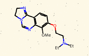 CCN(CC)CCOc1ccc2c(c1OC)N=CN1CCN=C21